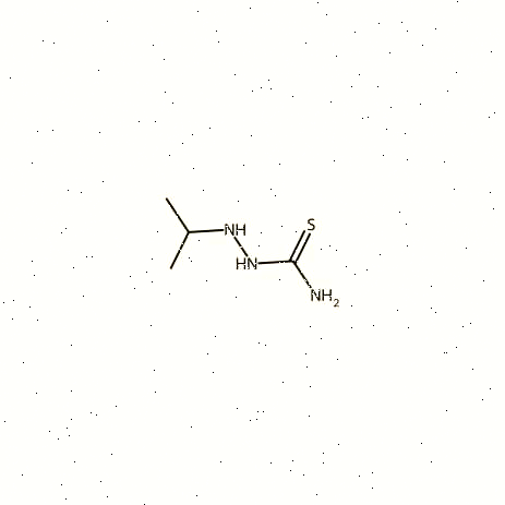 CC(C)NNC(N)=S